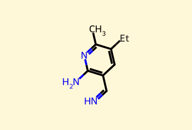 CCc1cc(C=N)c(N)nc1C